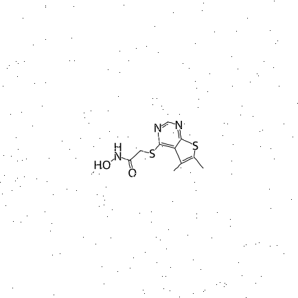 Cc1sc2ncnc(SCC(=O)NO)c2c1C